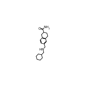 NC(=O)C1CCc2cc(CNCC3CCCCC3)ccc2C1